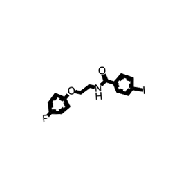 O=C(NCCOc1ccc(F)cc1)c1ccc(I)cc1